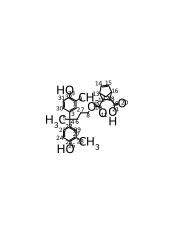 Cc1cc(C(C)(CCCOC(=O)C2C3C=CC(C3)C2C(=O)O)c2ccc(O)c(C)c2)ccc1O